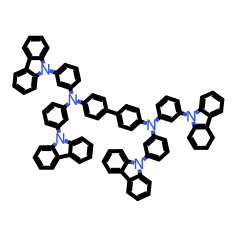 C1=Cc2c(c3ccccc3n2-c2cccc(N(c3ccc(-c4ccc(N(c5cccc(-n6c7ccccc7c7ccccc76)c5)c5cccc(-n6c7ccccc7c7ccccc76)c5)cc4)cc3)c3cccc(-n4c5ccccc5c5ccccc54)c3)c2)CC1